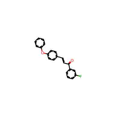 O=C(C=Cc1ccc(Oc2ccccc2)cc1)c1cccc(F)c1